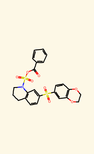 O=C(OS(=O)(=O)N1CCCc2ccc(S(=O)(=O)c3ccc4c(c3)OCCO4)cc21)c1ccccc1